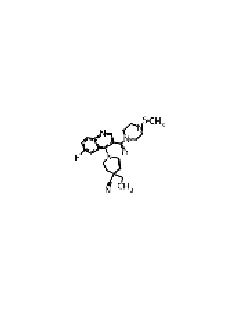 CCC1(C#N)CCN(c2c(C(=O)N3CCN(SC)CC3)cnc3ccc(F)cc23)CC1